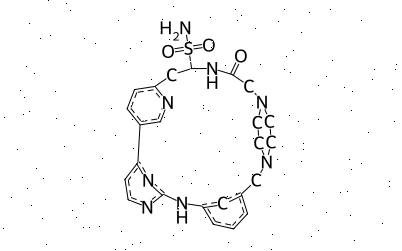 NS(=O)(=O)C1Cc2ccc(cn2)-c2ccnc(n2)Nc2cccc(c2)CN2CCN(CC2)CC(=O)N1